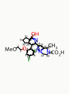 COCCOc1cc(F)cc(F)c1-c1c(-c2cc3n(n2)CCN(C(=O)O)[C@@H]3C)nc(O)c2c1CCC2